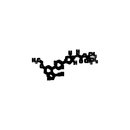 CCOc1cc(-c2cnc(N3C[C@@H]4[C@H](C3)[C@H]4NC(=O)OC(C)(C)C)cn2)c2c(C#N)cnn2c1